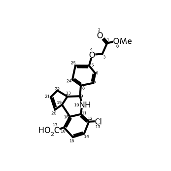 COC(=O)COc1ccc(C2Nc3c(Cl)ccc(C(=O)O)c3C3C=CCC32)cc1